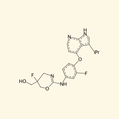 CC(C)c1c[nH]c2nccc(Oc3ccc(NC4=NCC(F)(CO)CO4)cc3F)c12